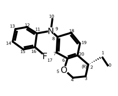 CC[C@@H]1CCOc2cc(N(C)c3ccccc3F)ccc21